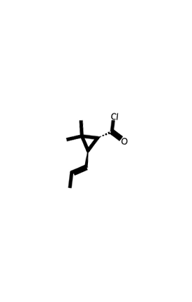 CC=C[C@@H]1[C@@H](C(=O)Cl)C1(C)C